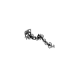 O=C(O)CCOCCOCCNC(=O)c1cc(Oc2ccc(NC(=O)Nc3ccc(Cl)c(C(F)(F)F)c3)cc2)ccn1